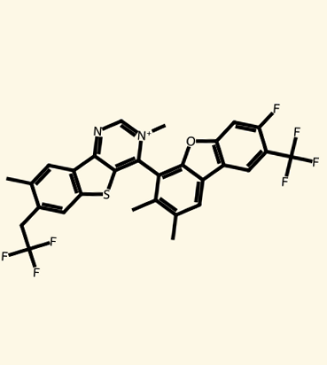 Cc1cc2c(cc1CC(F)(F)F)sc1c(-c3c(C)c(C)cc4c3oc3cc(F)c(C(F)(F)F)cc34)[n+](C)cnc12